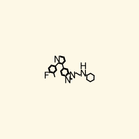 Cc1cc(-c2ncccc2-c2ccc3ncn(CCNC4CCCCC4)c3c2)ccc1F